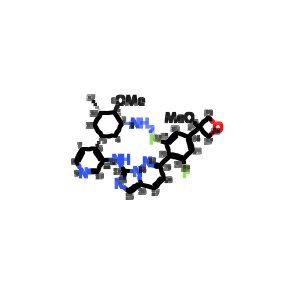 CO[C@H]1[C@H](N)C[C@H](c2ccncc2Nc2ncc3ccc(-c4c(F)cc(C5(OC)COC5)cc4F)nn23)C[C@@H]1C